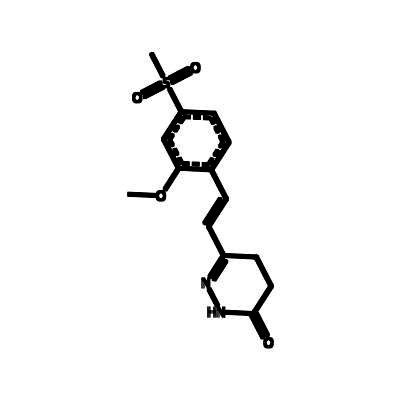 COc1cc(S(C)(=O)=O)ccc1C=CC1=NNC(=O)CC1